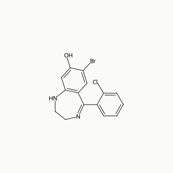 Oc1cc2c(cc1Br)C(c1ccccc1Cl)=NCCN2